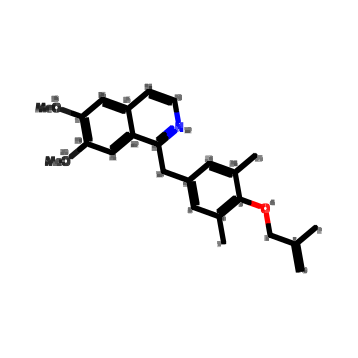 C=C(C)COc1c(C)cc(Cc2nccc3cc(OC)c(OC)cc23)cc1C